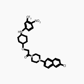 O=C(COC1CCC(Nc2ccc([N+](=O)[O-])c(C(F)(F)F)c2)CC1)N1CCN(c2ccc3cc(Cl)ccc3c2)CC1